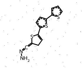 NN=C=C1CC=C(c2ccc(-c3cccs3)s2)S1